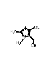 Cc1nc(C)n(C)c1CO